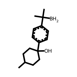 BC(C)(C)c1ccc(C2(O)CCC(C)CC2)cc1